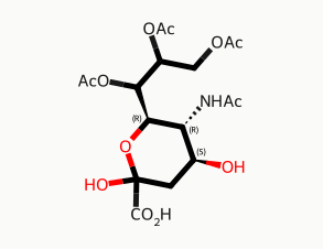 CC(=O)N[C@@H]1[C@@H](O)CC(O)(C(=O)O)O[C@H]1C(OC(C)=O)C(COC(C)=O)OC(C)=O